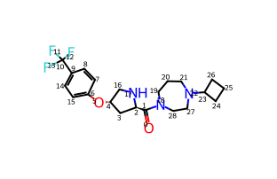 O=C([C@H]1C[C@H](Oc2ccc(C(F)(F)F)cc2)CN1)N1CCCN(C2CCC2)CC1